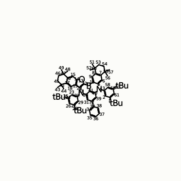 CC(C)(C)c1cc(N2c3cc4c(cc3B3c5oc6cc7c(cc6c5N(c5cc(C(C)(C)C)cc(C(C)(C)C)c5)c5cc(-c6ccccc6)cc2c53)C(C)(C)CCC7(C)C)C(C)(C)CCC4(C)C)cc(C(C)(C)C)c1